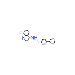 Fc1cccc2c(NCCCc3ccc(-c4ccccc4)cc3)ccnc12